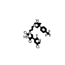 O=c1[nH]c(=O)n(CCCN2C[C@@H]3C[C@]3(c3ccc(C(F)(F)F)cc3)C2)cc1-c1cc(Cl)cnc1F